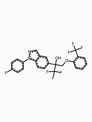 OC(COc1ccccc1C(F)(F)F)(c1ccc2c(cnn2-c2ccc(F)cc2)c1)C(F)(F)F